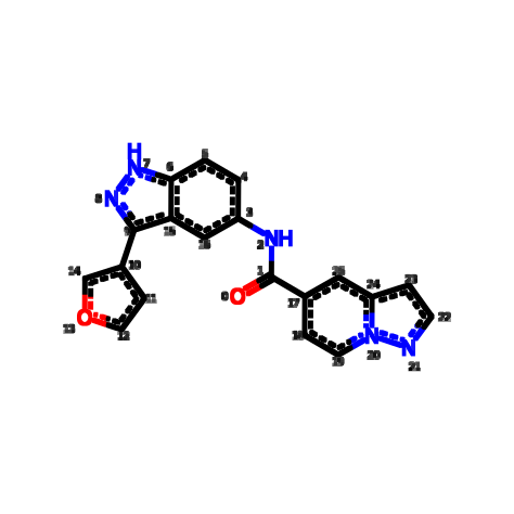 O=C(Nc1ccc2[nH]nc(-c3ccoc3)c2c1)c1ccn2nccc2c1